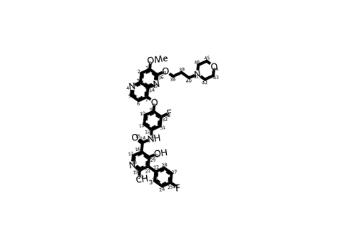 COc1cc2nccc(Oc3ccc(NC(=O)c4cnc(C)c(-c5ccc(F)cc5)c4O)cc3F)c2nc1OCCCN1CCOCC1